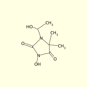 CC(O)N1C(=O)N(O)C(=O)C1(C)C